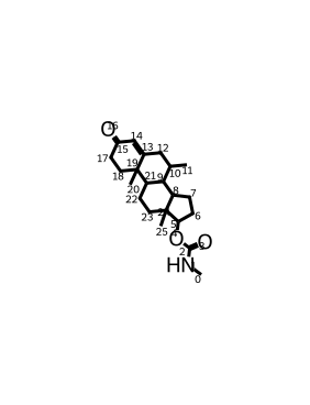 CNC(=O)OC1CCC2C3C(C)CC4=CC(=O)CCC4(C)C3CCC12C